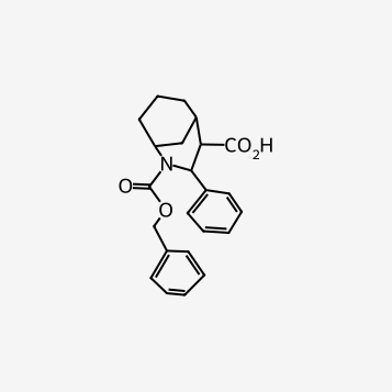 O=C(O)C1C2CCCC(C2)N(C(=O)OCc2ccccc2)C1c1ccccc1